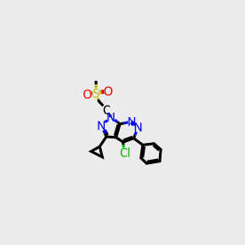 CS(=O)(=O)CCn1nc(C2CC2)c2c(Cl)c(-c3ccccc3)nnc21